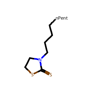 CCCCCCCCCN1CCSC1=S